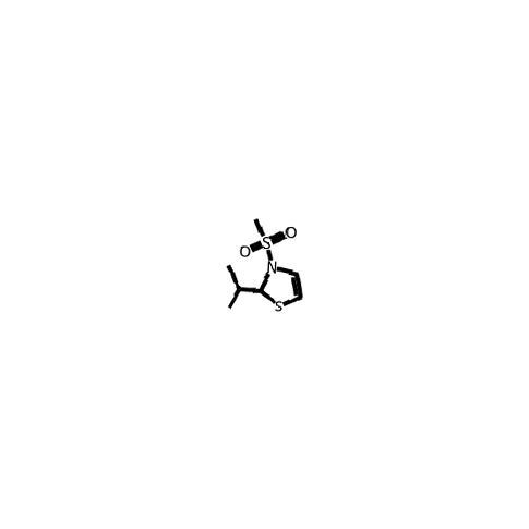 CC(C)C1SC=CN1S(C)(=O)=O